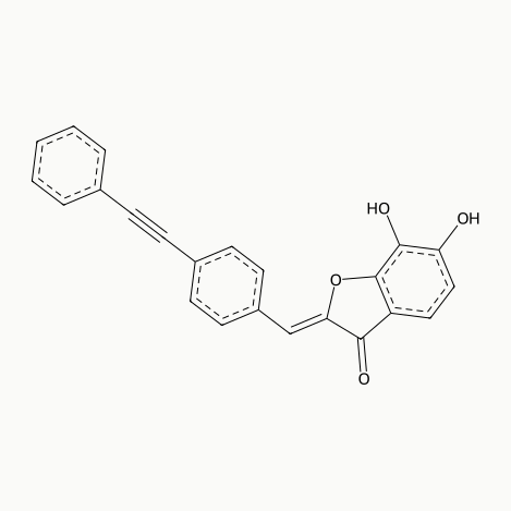 O=C1C(=Cc2ccc(C#Cc3ccccc3)cc2)Oc2c1ccc(O)c2O